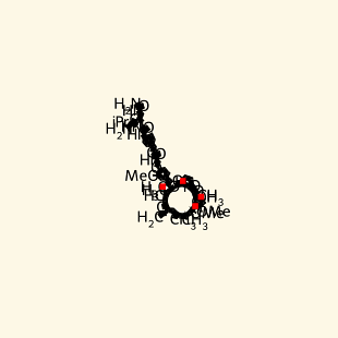 C=CC[C@@H]1/C=C(\C)C[C@H](C)C[C@H](OC)[C@H]2O[C@@](O)(C(=O)C(=O)N3CCCC[C@H]3C(=O)O[C@H](/C(C)=C/C3CC[C@@H](OCNC(=O)OCc4ccc(NC(=O)[C@H](CCCNC(N)=O)NC(=O)[C@@H](N)C(C)C)cc4)[C@H](OC)C3)[C@H](C)[C@@H](O)CC1=O)[C@H](C)C[C@@H]2OC